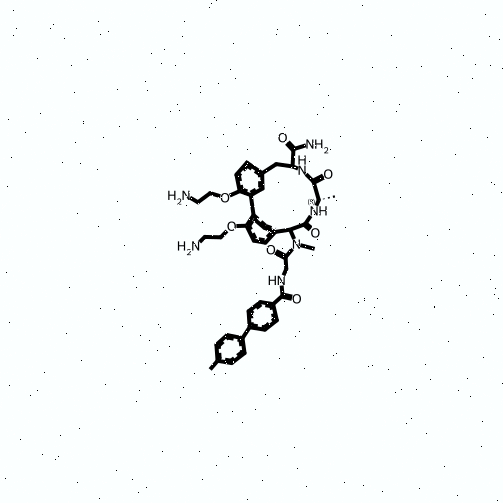 Cc1ccc(-c2ccc(C(=O)NCC(=O)N(C)C3C(=O)N[C@@H](C)C(=O)NC(C(N)=O)Cc4ccc(OCCN)c(c4)-c4cc3ccc4OCCN)cc2)cc1